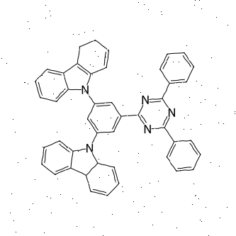 C1=CC2c3ccccc3N(c3cc(-c4nc(-c5ccccc5)nc(-c5ccccc5)n4)cc(-n4c5c(c6ccccc64)CCC=C5)c3)C2C=C1